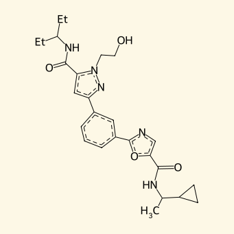 CCC(CC)NC(=O)c1cc(-c2cccc(-c3ncc(C(=O)NC(C)C4CC4)o3)c2)nn1CCO